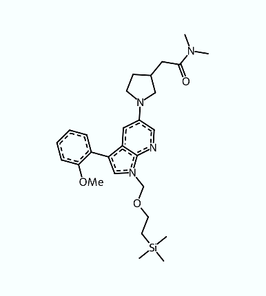 COc1ccccc1-c1cn(COCC[Si](C)(C)C)c2ncc(N3CCC(CC(=O)N(C)C)C3)cc12